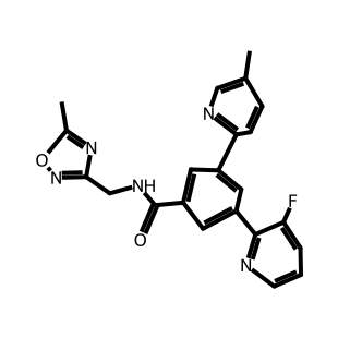 Cc1ccc(-c2cc(C(=O)NCc3noc(C)n3)cc(-c3ncccc3F)c2)nc1